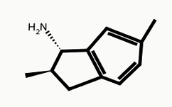 Cc1ccc2c(c1)[C@@H](N)[C@H](C)C2